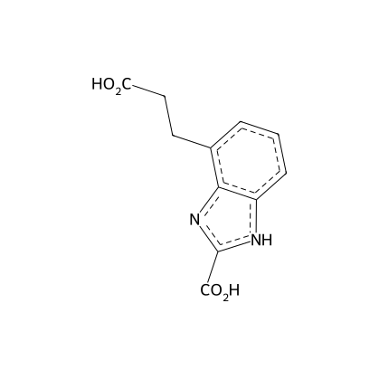 O=C(O)CCc1cccc2[nH]c(C(=O)O)nc12